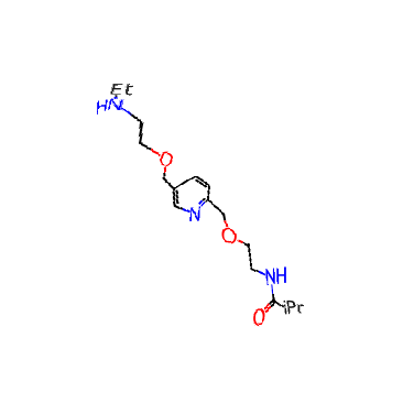 CCNCCOCc1ccc(COCCNC(=O)C(C)C)nc1